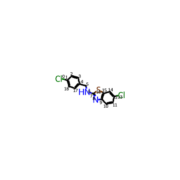 Clc1ccc(CNc2nc3ccc(Cl)cc3s2)cc1